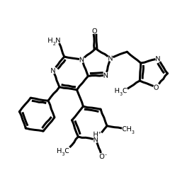 CC1=CC(c2c(-c3ccccc3)nc(N)n3c(=O)n(Cc4ncoc4C)nc23)=CC(C)[NH+]1[O-]